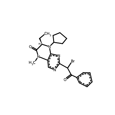 CC[C@@H]1C(=O)N(C)c2cnc(C(Br)C(=O)c3ccccc3)nc2N1C1CCCC1